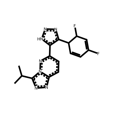 CC(C)c1nnc2ccc(-c3[nH]nnc3C3C=CC(F)=CC3F)nn12